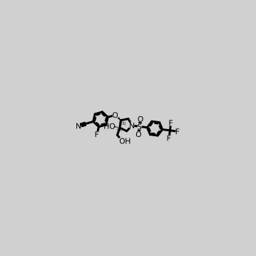 N#Cc1ccc(O[C@H]2CN(S(=O)(=O)c3ccc(C(F)(F)F)cc3)C[C@@]2(O)CO)cc1F